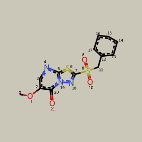 COc1cnc2sc(S(=O)(=O)Cc3ccccc3)nn2c1=O